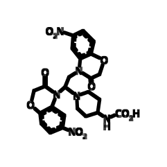 O=C(O)NC1CCN(C(CN2C(=O)COc3ccc([N+](=O)[O-])cc32)N2C(=O)COc3ccc([N+](=O)[O-])cc32)CC1